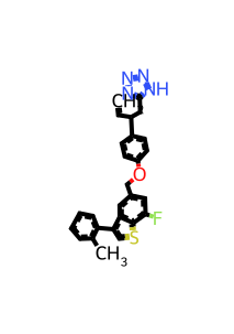 C=CC(Cc1nnn[nH]1)c1ccc(OCc2cc(F)c3scc(-c4ccccc4C)c3c2)cc1